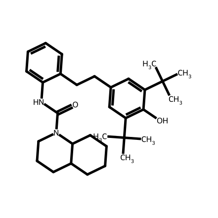 CC(C)(C)c1cc(CCc2ccccc2NC(=O)N2CCCC3CCCCC32)cc(C(C)(C)C)c1O